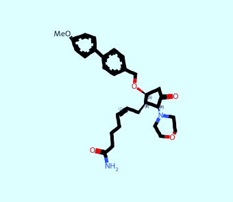 COc1ccc(-c2ccc(CO[C@H]3CC(=O)[C@H](N4CCOCC4)[C@H]3C/C=C\CCCC(N)=O)cc2)cc1